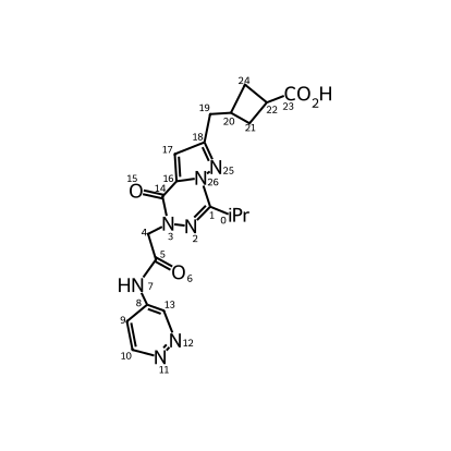 CC(C)c1nn(CC(=O)Nc2ccnnc2)c(=O)c2cc(CC3CC(C(=O)O)C3)nn12